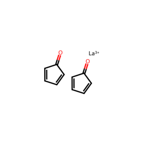 O=C1C=CC=C1.O=C1C=CC=C1.[La+3]